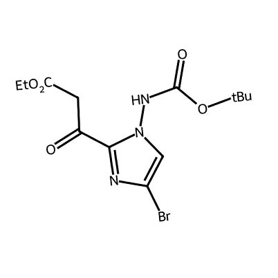 CCOC(=O)CC(=O)c1nc(Br)cn1NC(=O)OC(C)(C)C